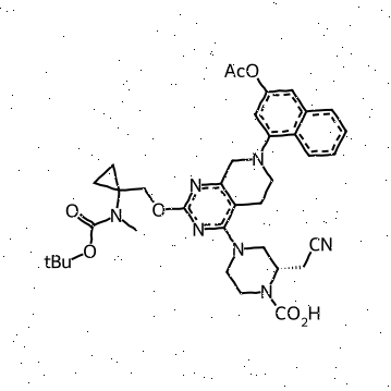 CC(=O)Oc1cc(N2CCc3c(nc(OCC4(N(C)C(=O)OC(C)(C)C)CC4)nc3N3CCN(C(=O)O)[C@@H](CC#N)C3)C2)c2ccccc2c1